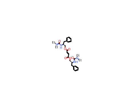 CCN(CC)C(=O)N[C@H](COC(=O)/C=C/C(=O)OC[C@H](Cc1ccccc1)NC(=O)N(CC)CC)Cc1ccccc1